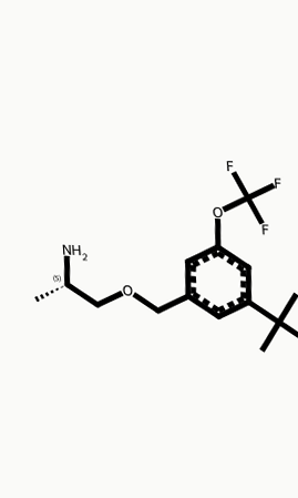 C[C@H](N)COCc1cc(OC(F)(F)F)cc(C(C)(C)C)c1